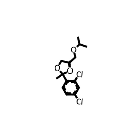 CC(C)OCC1COC(C)(c2ccc(Cl)cc2Cl)O1